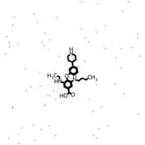 CCCCNc1cc(C(=O)O)cc(NCC)c1Oc1cccc(C2CCNCC2)c1